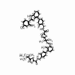 CC(C)(C)c1noc(C(=O)NCc2ccc(-c3ccnc(NCC(C)(C)c4noc(C(=O)NCc5ccc(-c6ccnc7[nH]c(-c8ccc(Cl)cc8N)nc67)cc5F)n4)c3N)cc2F)n1